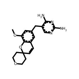 COc1cc(Cc2cnc(N)nc2N)cc2c1OC1(C=C2)CCOCC1